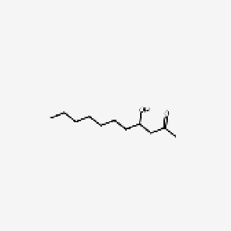 CCCCCCCC(O)CC(C)=O